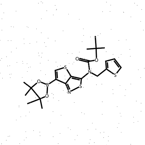 CC(C)(C)OC(=O)N(Cc1cccs1)c1snc2c(B3OC(C)(C)C(C)(C)O3)csc12